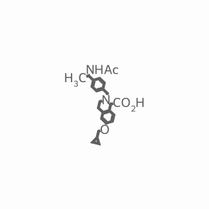 CC(=O)N[C@@H](C)c1ccc(CN2CCc3cc(OCC4CC4)ccc3C2C(=O)O)cc1